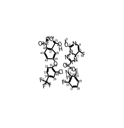 COc1ncc(F)c2nc(S(=O)(=O)Nc3c(F)cccc3F)nn12.O=C(O)c1cc(Oc2ccc(C(F)(F)F)cc2Cl)ccc1[N+](=O)[O-]